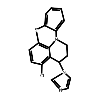 Clc1ccc2c3c1C(n1ccnc1)CCN3c1ccccc1S2